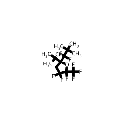 CC(C)(C)C(F)(F)C1(C(C)(C)C)CC(F)(F)C(F)(C(F)(F)F)O1